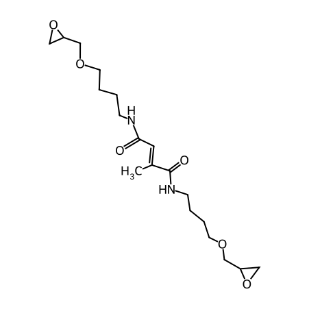 C/C(=C\C(=O)NCCCCOCC1CO1)C(=O)NCCCCOCC1CO1